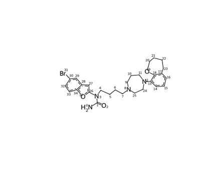 NC(=O)N(CCCCN1CCCN(c2cccc3c2OCCCC3)CC1)c1cc2cc(Br)ccc2o1